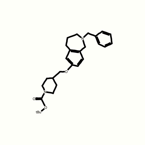 CC(C)(C)OC(=O)N1CCC(COc2ccc3c(c2)CCCN(Cc2ccccc2)C3)CC1